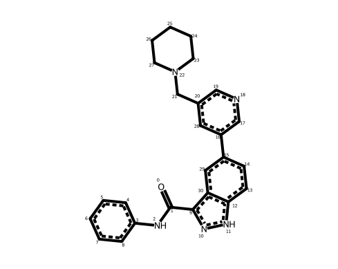 O=C(Nc1ccccc1)c1n[nH]c2ccc(-c3cncc(CN4CCCCC4)c3)cc12